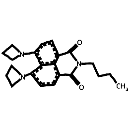 CCCCN1C(=O)c2ccc(N3CCC3)c3c(N4CCC4)ccc(c23)C1=O